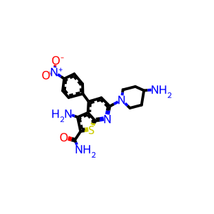 NC(=O)c1sc2nc(N3CCC(N)CC3)cc(-c3ccc([N+](=O)[O-])cc3)c2c1N